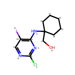 OCC1(Nc2nc(Cl)ncc2I)CCCCC1